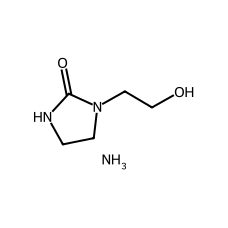 N.O=C1NCCN1CCO